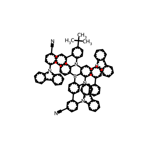 CC(C)(C)c1ccc(N2c3cc(-c4cc(C#N)ccc4-n4c5ccccc5c5ccccc54)ccc3B3c4ccc(-c5cc(C#N)ccc5-n5c6ccccc6c6ccccc65)cc4N(c4ccccc4-c4ccccc4)c4cc(-n5c6ccccc6c6ccccc65)cc2c43)c(-c2ccccc2)c1